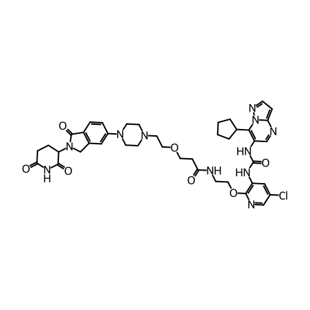 O=C(CCOCCN1CCN(c2ccc3c(c2)CN(C2CCC(=O)NC2=O)C3=O)CC1)NCCOc1ncc(Cl)cc1NC(=O)Nc1cnc2ccnn2c1C1CCCC1